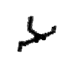 CCCC/C=C\CCCCCCCC(=O)OC[C@H](COC(=O)CCCCCCCCC/C=C\C/C=C\CCCCC)OC(=O)CCCCCCC/C=C\CCCCCCCCC